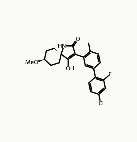 CO[C@H]1CC[C@]2(CC1)NC(=O)C(c1cc(-c3ccc(Cl)cc3F)ccc1C)=C2O